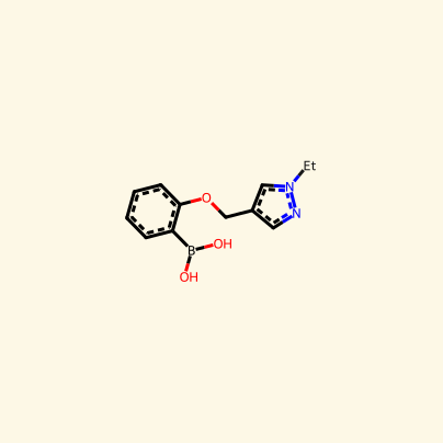 CCn1cc(COc2ccccc2B(O)O)cn1